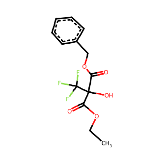 CCOC(=O)C(O)(C(=O)OCc1ccccc1)C(F)(F)F